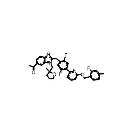 CC(=O)c1ccc2nc(Cc3cc(F)c(-c4cccc(OCc5ccc(C)cc5F)n4)cc3F)n(CC3(C)CCCO3)c2c1